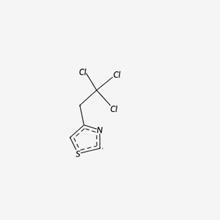 ClC(Cl)(Cl)Cc1cs[c]n1